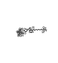 O=C(NCCCCCCNc1ncnc2c1ncn2C1COC(COP(=O)(O)OP(=O)(O)OP(=O)(O)O)C(O)C1)C(F)(F)F